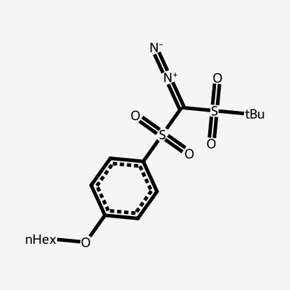 CCCCCCOc1ccc(S(=O)(=O)C(=[N+]=[N-])S(=O)(=O)C(C)(C)C)cc1